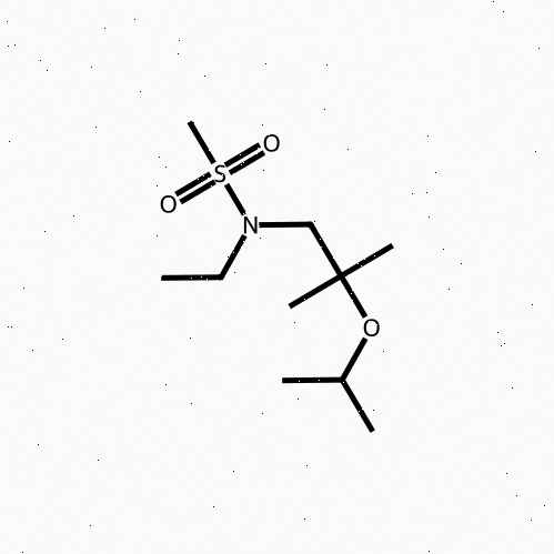 CCN(CC(C)(C)OC(C)C)S(C)(=O)=O